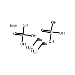 CCC(C)C.CCC(C)C.OP(O)(O)=S.OP(O)(O)=S.[NaH]